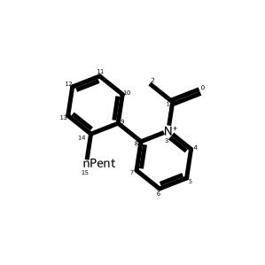 C=C(C)[n+]1ccccc1-c1ccccc1CCCCC